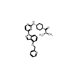 CN(C)C(=O)[C@H]1CC[C@H](Nc2nccc(-n3ncc4c(OCc5ccccn5)cccc43)n2)CC1